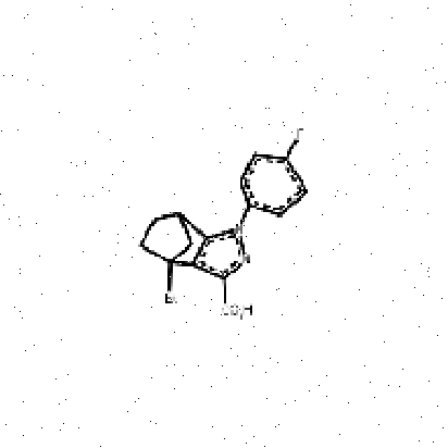 CCC12CCC(C1)c1c2c(C(=O)O)nn1-c1ccc(F)cc1